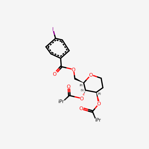 CC(C)C(=O)O[C@@H]1[C@@H](COC(=O)c2ccc(I)cc2)OCC[C@H]1OC(=O)C(C)C